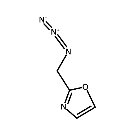 [N-]=[N+]=NCc1ncco1